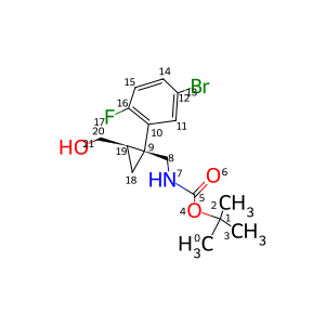 CC(C)(C)OC(=O)NC[C@@]1(c2cc(Br)ccc2F)C[C@H]1CO